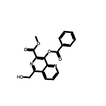 COC(=O)c1nc(CO)c2cccnc2c1OC(=O)c1ccccc1